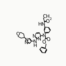 C=CC(=O)Nc1cccc(N(C(=O)OCc2ccccc2)c2ccnc(Nc3cnn(C4CCOCC4)c3)n2)c1